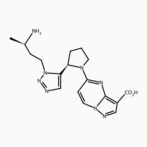 C[C@@H](N)CCn1nncc1[C@H]1CCCN1c1ccn2ncc(C(=O)O)c2n1